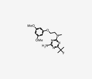 COc1cc(OC)cc(OCCN(C)c2nc(N)nc(C(C)(C)F)n2)c1